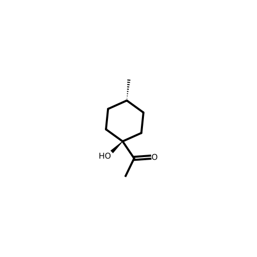 CC(=O)[C@]1(O)CC[C@H](C)CC1